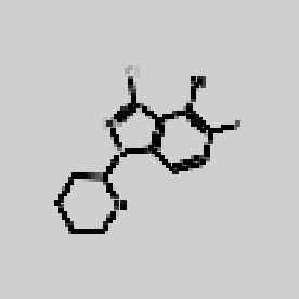 Cc1ccc2c(c(Cl)nn2C2CCCCO2)c1O